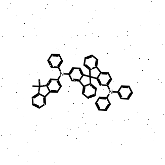 CC1(C)c2ccccc2-c2ccc(N(c3ccccc3)c3ccc4c(c3)-c3ccccc3C43c4ccccc4-c4ccc(N(c5ccccc5)c5ccccc5)cc43)cc21